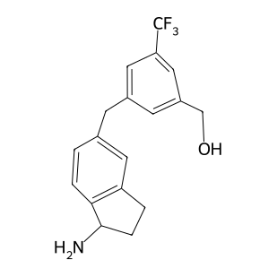 NC1CCc2cc(Cc3cc(CO)cc(C(F)(F)F)c3)ccc21